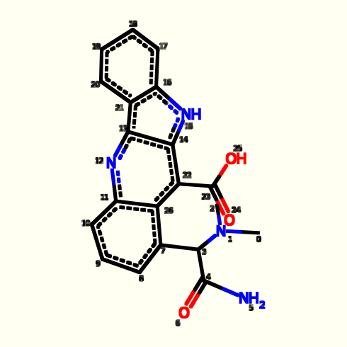 CN(C)C(C(N)=O)c1cccc2nc3c([nH]c4ccccc43)c(C(=O)O)c12